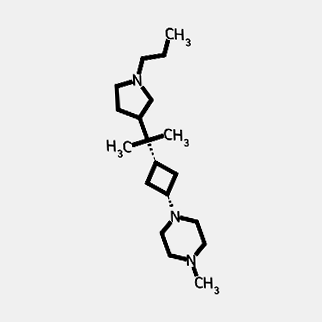 CCCN1CCC(C(C)(C)[C@H]2C[C@@H](N3CCN(C)CC3)C2)C1